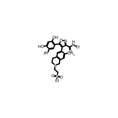 CCNC(=O)c1noc(-c2cc(C(C)C)c(O)cc2O)c1-c1cc2c(cc1C)CN(CCS(=O)(=O)CC)CC2